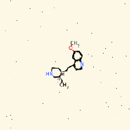 C=C[C@H]1CNCC[C@H]1CCc1ccnc2ccc(OC)cc12